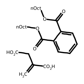 C=C(CC(=O)O)C(=O)O.CCCCCCCCOC(=O)c1ccccc1C(=O)OCCCCCCCC